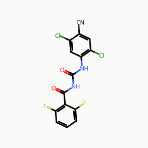 N#Cc1cc(Cl)c(NC(=O)NC(=O)c2c(F)cccc2F)cc1Cl